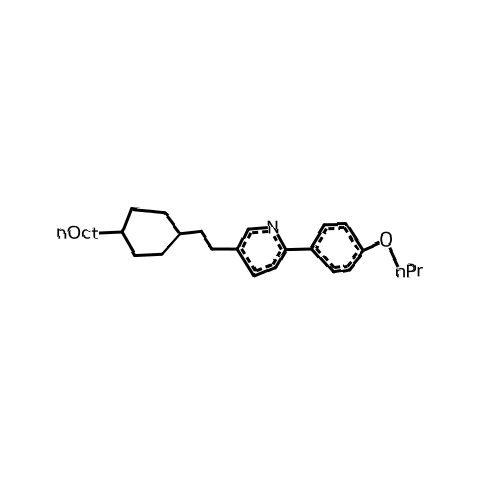 CCCCCCCCC1CCC(CCc2ccc(-c3ccc(OCCC)cc3)nc2)CC1